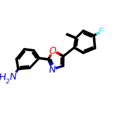 Cc1cc(F)ccc1-c1cnc(-c2cccc(N)c2)o1